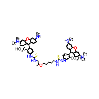 CCN(CC)c1ccc2c(-c3ccc(NC(=S)NCCCCCOC(C)CNC(=S)Nc4ccc(-c5c6cc/c(=[N+](\C)CC)cc-6oc6cc(N(CC)CC)ccc56)c(C(=O)O)c4)cc3C(=O)O)c3cc/c(=[N+](\C)CC)cc-3oc2c1